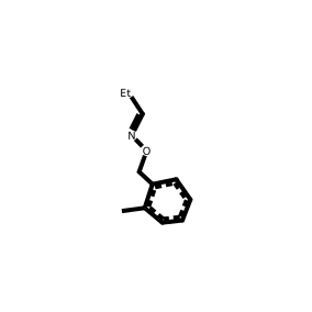 CCC=NOCc1ccccc1C